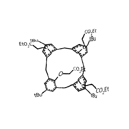 CCOC(=O)COc1c2cc(C(C)(C)C)cc1Cc1cc(C(C)(C)C)cc(c1OCC(=O)OCC)Cc1cc(C(C)(C)C)cc(c1OCC(=O)OCC)Cc1cc(C(C)(C)C)cc(c1OCC(=O)OCC)C2